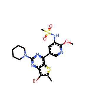 COc1ncc(-c2nc(N3CCCCC3)nc3c(Br)c(C)sc23)cc1NS(C)(=O)=O